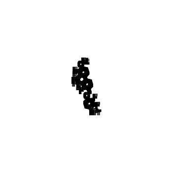 CCCc1ccc(OCc2ccc3c(c2F)C(F)(F)C(F)(F)c2c-3ccc(OCC)c2F)c(F)c1F